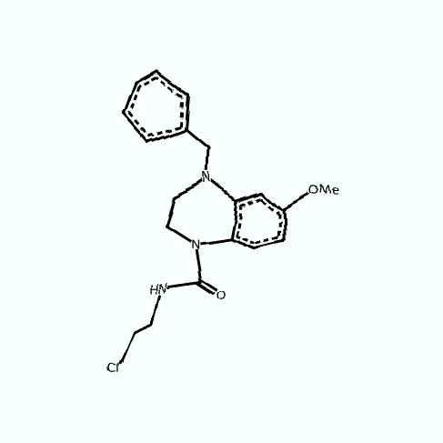 COc1ccc2c(c1)N(Cc1ccccc1)CCN2C(=O)NCCCl